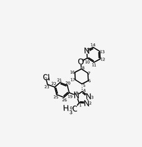 Cc1nnc([C@H]2CC[C@H](Oc3ccccn3)CC2)n1-c1ccc(CCl)cc1